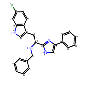 Fc1ccc2c(C[C@H](NCc3ccccc3)c3nc(-c4ccccc4)c[nH]3)c[nH]c2c1